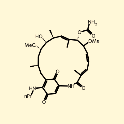 CCCNC1=C2C[C@@H](C)C[C@H](OC)[C@H](O)[C@@H](C)/C=C(\C)[C@H](OC(N)=O)C(OC)/C=C\C=C(/C)C(=O)NC(=CC1=O)C2=O